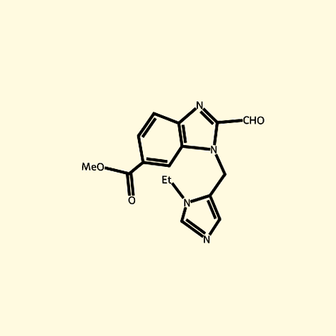 CCn1cncc1Cn1c(C=O)nc2ccc(C(=O)OC)cc21